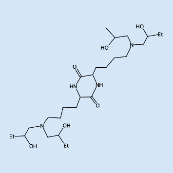 CCC(O)CN(CCCCC1NC(=O)C(CCCCN(CC(O)CC)CC(O)CC)NC1=O)CC(C)O